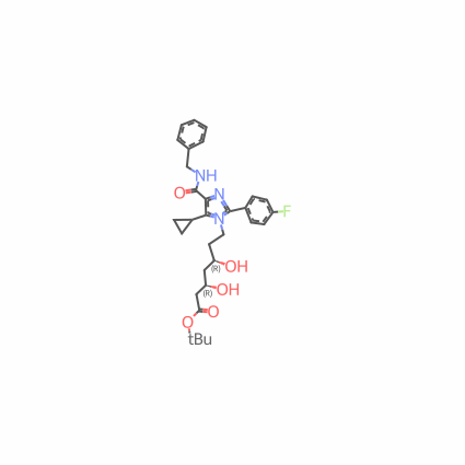 CC(C)(C)OC(=O)C[C@H](O)C[C@H](O)CCn1c(-c2ccc(F)cc2)nc(C(=O)NCc2ccccc2)c1C1CC1